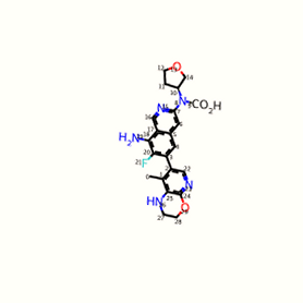 Cc1c(-c2cc3cc(N(C(=O)O)[C@H]4CCOC4)ncc3c(N)c2F)cnc2c1NCCO2